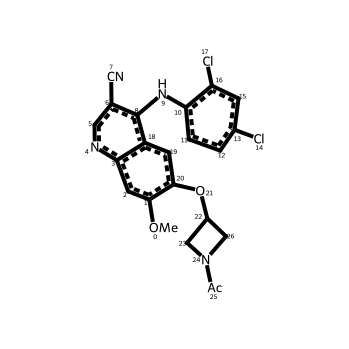 COc1cc2ncc(C#N)c(Nc3ccc(Cl)cc3Cl)c2cc1OC1CN(C(C)=O)C1